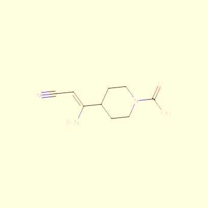 N#CC=C(N)C1CCN(C(=O)O)CC1